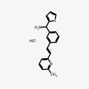 Cc1cccc(/C=C/c2cccc(C(N)c3cccs3)c2)n1.Cl